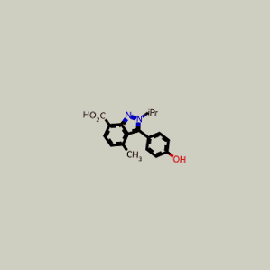 Cc1ccc(C(=O)O)c2nn(C(C)C)c(-c3ccc(O)cc3)c12